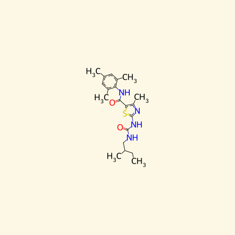 CCC(C)CNC(=O)Nc1nc(C)c(C(=O)Nc2c(C)cc(C)cc2C)s1